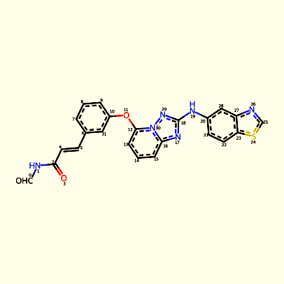 O=CNC(=O)C=Cc1cccc(Oc2cccc3nc(Nc4ccc5scnc5c4)nn23)c1